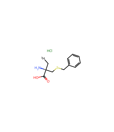 Cl.[2H]C[C@](N)(CSCc1ccccc1)C(=O)O